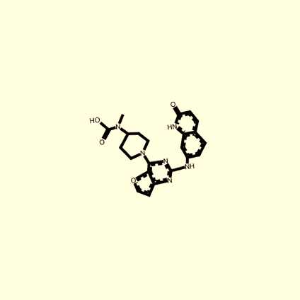 CN(C(=O)O)C1CCN(c2nc(Nc3ccc4ccc(=O)[nH]c4c3)nc3ccoc23)CC1